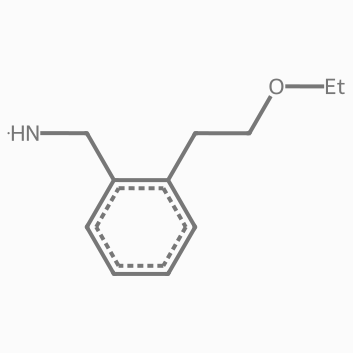 CCOCCc1ccccc1C[NH]